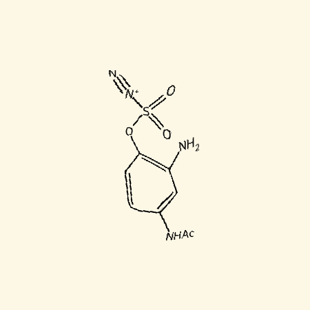 CC(=O)Nc1ccc(OS(=O)(=O)[N+]#N)c(N)c1